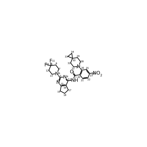 O=C(Nc1nc(N2CCC(F)(F)CC2)nc2c1CCC2)c1ccc([N+](=O)[O-])cc1N1CCC2(CC1)CC2